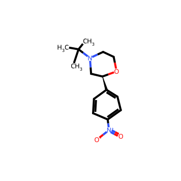 CC(C)(C)N1CCO[C@@H](c2ccc([N+](=O)[O-])cc2)C1